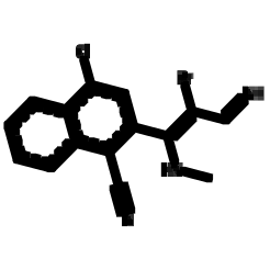 CN/C(=C(/Br)C=N)c1cc(Cl)c2ccccc2c1C#N